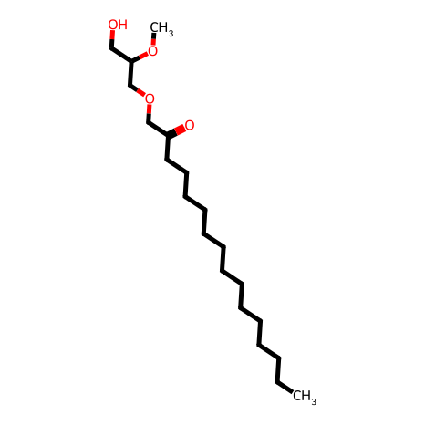 CCCCCCCCCCCCCCC(=O)COCC(CO)OC